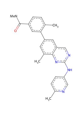 CNC(=O)c1ccc(C)c(-c2cc(C)c3nc(Nc4ccc(C)nc4)ncc3c2)c1